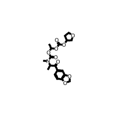 CC(OC(=O)OC1CCOC1)OC(=O)N(C)C(C)C(=O)c1ccc2c(c1)OCO2